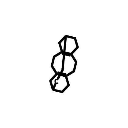 C1CC2=C3CCC4=C1CCC(CCC(CC2)C3)C4